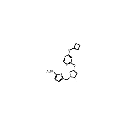 CC(=O)Nc1ncc(CN2C[C@H](Oc3cc(NC4CCC4)ncn3)C[C@@H]2C)s1